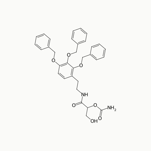 NC(=O)OC(CO)C(=O)NCCc1ccc(OCc2ccccc2)c(OCc2ccccc2)c1OCc1ccccc1